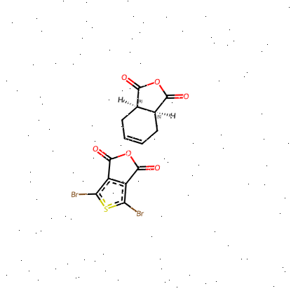 O=C1OC(=O)[C@@H]2CC=CC[C@H]12.O=C1OC(=O)c2c(Br)sc(Br)c21